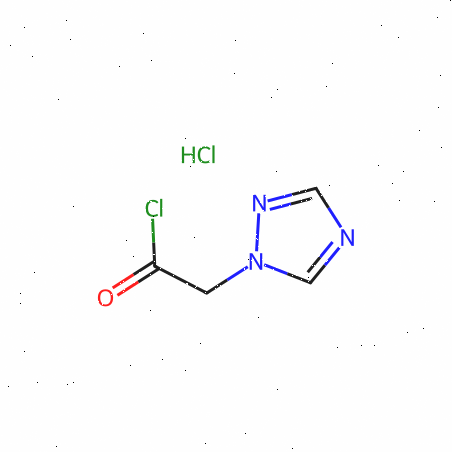 Cl.O=C(Cl)Cn1cncn1